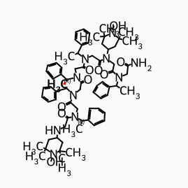 CC(c1ccccc1)N(CC(N)=O)C(=O)CN(C(=O)CN(C(=O)CN(C(=O)CN(C(=O)CN(C(=O)CNC1CC(C)(C)N(O)C(C)(C)C1)[C@H](C)c1ccccc1)C(C)c1ccccc1)[C@H](C)c1ccccc1)C(C)c1ccccc1)C1CC(C)(C)N(O)C(C)(C)C1